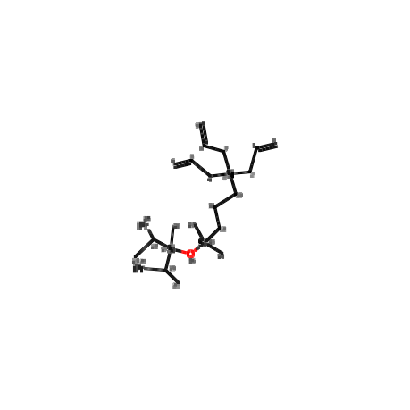 C=CC[Si](CC=C)(CC=C)CCC[Si](C)(C)O[Si](C)(C(C)C(C)C)C(C)C(C)C